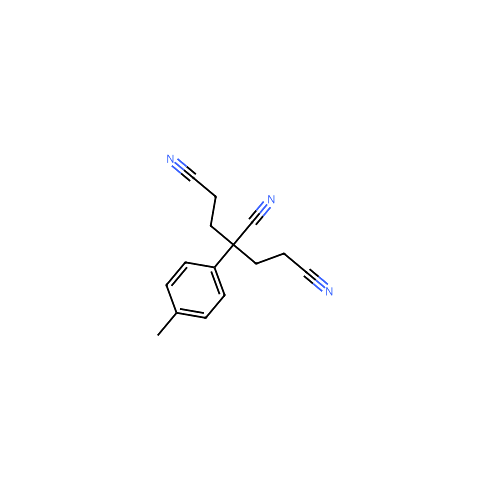 Cc1ccc(C(C#N)(CCC#N)CCC#N)cc1